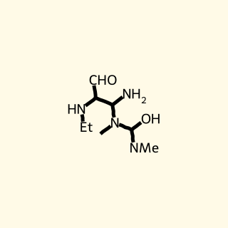 CCNC(C=O)C(N)N(C)C(O)NC